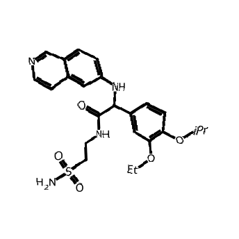 CCOc1cc(C(Nc2ccc3cnccc3c2)C(=O)NCCS(N)(=O)=O)ccc1OC(C)C